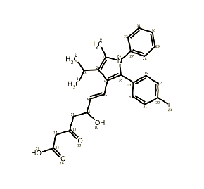 Cc1c(C(C)C)c(C=CC(O)CC(=O)CC(=O)O)c(-c2ccc(F)cc2)n1-c1ccccc1